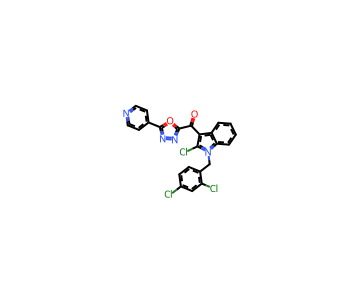 O=C(c1nnc(-c2ccncc2)o1)c1c(Cl)n(Cc2ccc(Cl)cc2Cl)c2ccccc12